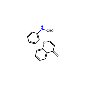 O=CNc1ccccc1.O=c1ccoc2ccccc12